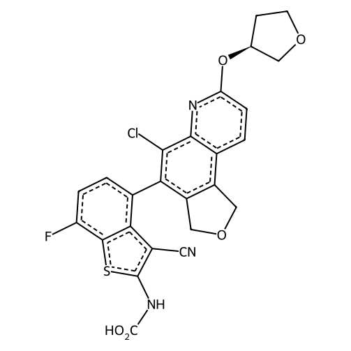 N#Cc1c(NC(=O)O)sc2c(F)ccc(-c3c4c(c5ccc(O[C@H]6CCOC6)nc5c3Cl)COC4)c12